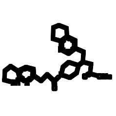 COC(=O)CC(Cc1cnc2c(c1)CCCC2)C1CCN(C(=O)CCc2ccc3c(n2)NCCC3)CC1